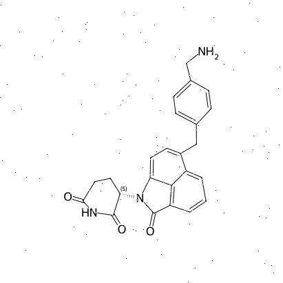 NCc1ccc(Cc2ccc3c4c(cccc24)C(=O)N3[C@H]2CCC(=O)NC2=O)cc1